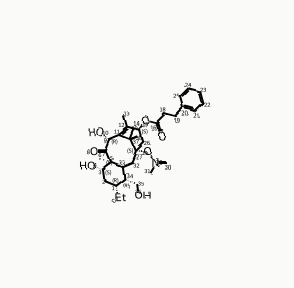 CC[C@@H]1C[C@H](O)[C@@]2(C)C(=O)[C@H](O)C3=C(C)[C@@H](OC(=O)CCc4ccccc4)C[C@@](ON(C)C)(CC2[C@@H]1CO)C3(C)C